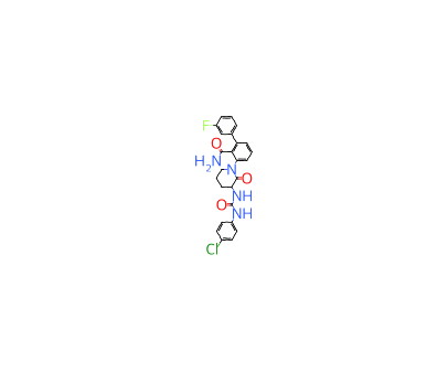 NC(=O)c1c(-c2cccc(F)c2)cccc1N1CCCC(NC(=O)Nc2ccc(Cl)cc2)C1=O